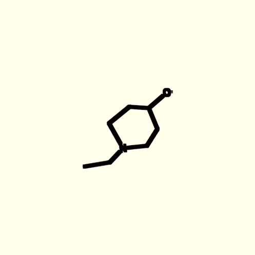 CCN1CCC([O])CC1